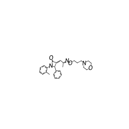 CC(/C=C1/C(=O)N(c2ccccc2C)C1c1ccccc1)=N\OCCCN1CCOCC1